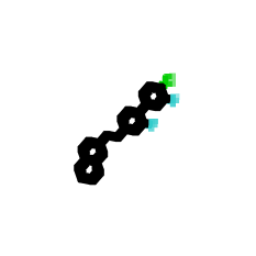 Fc1cc(-c2ccc(CCc3ccc4ccccc4c3)cc2F)ccc1Cl